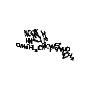 C=CC(=O)N1CC(F)(C(=O)N2CCC(n3nc(C)c(-c4cc(NCCOC)c5c(C#N)cnn5c4)c3C)CC2)C1